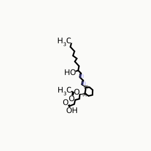 CCCCCCCCC(O)/C=C/C=C/[C@H]1CCCC[C@H]1C(CCCC(=O)O)OC(C)=O